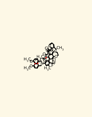 COc1ccc(CN(Cc2ccc(OC)cc2)c2cc(C)c(C(F)(F)F)c(-c3c(Cl)c4c5c(nc(Cl)nc5c3F)N([C@H](C)c3cccnc3OC(=O)NC(=O)OC(C)(C)C)CCO4)c2F)cc1